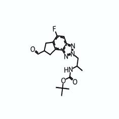 CC(Cn1nc2cc(F)c3c(c2n1)CC(C=O)C3)NC(=O)OC(C)(C)C